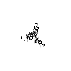 COc1ccc(CN(CC(Oc2ccc(F)c(C(N)=O)c2F)c2nc(-c3ccc(C(F)(F)F)cc3)c(Br)o2)C(=O)O)cn1